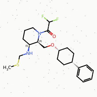 CSCN[C@H]1CCCN(C(=O)C(F)F)[C@H]1CO[C@H]1CC[C@@H](c2ccccc2)CC1